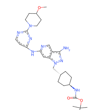 COC1CCN(c2nccc(Nc3cc4c(cn3)c(N)nn4C[C@H]3CC[C@H](NC(=O)OC(C)(C)C)CC3)n2)CC1